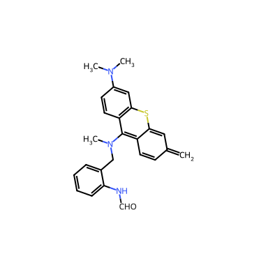 C=c1ccc2c(c1)Sc1cc(N(C)C)ccc1C=2N(C)Cc1ccccc1NC=O